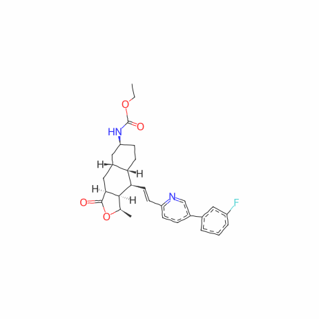 CCOC(=O)N[C@H]1CC[C@H]2[C@@H](C1)C[C@@H]1C(=O)O[C@H](C)[C@@H]1[C@@H]2/C=C/c1ccc(-c2cccc(F)c2)cn1